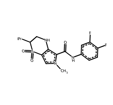 CC(C)C1CNc2c(cn(C)c2C(=O)Nc2ccc(F)c(F)c2)S1(=O)=O